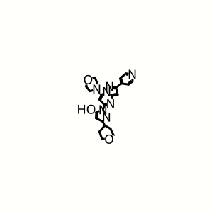 Oc1cc(C2CCOCC2)nn1-c1cc(N2CCOCC2)n2nc(-c3ccncc3)cc2n1